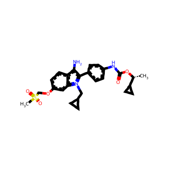 C[C@@H](OC(=O)Nc1ccc(-c2c(N)c3ccc(OCS(C)(=O)=O)cc3n2CC2CC2)cc1)C1CC1